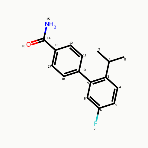 CC(C)c1ccc(F)cc1-c1ccc(C(N)=O)cc1